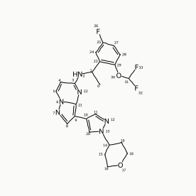 CC(Nc1ccn2ncc(-c3cnn(C4CCOCC4)c3)c2n1)c1cc(F)ccc1OC(F)F